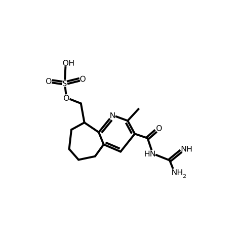 Cc1nc2c(cc1C(=O)NC(=N)N)CCCCC2COS(=O)(=O)O